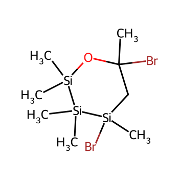 CC1(Br)C[Si](C)(Br)[Si](C)(C)[Si](C)(C)O1